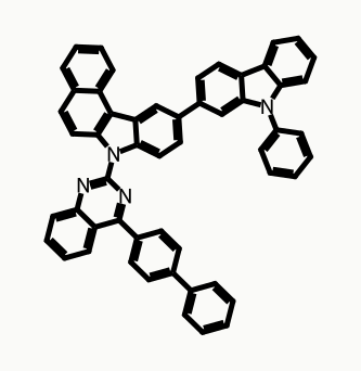 c1ccc(-c2ccc(-c3nc(-n4c5ccc(-c6ccc7c8ccccc8n(-c8ccccc8)c7c6)cc5c5c6ccccc6ccc54)nc4ccccc34)cc2)cc1